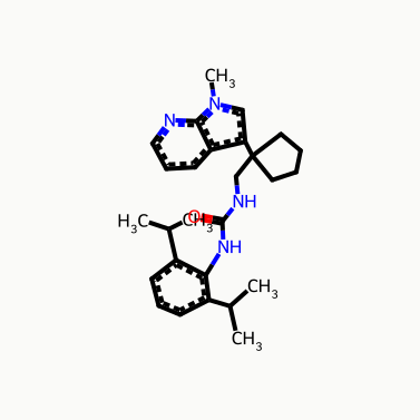 CC(C)c1cccc(C(C)C)c1NC(=O)NCC1(c2cn(C)c3ncccc23)CCCC1